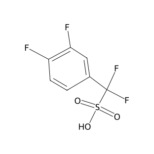 O=S(=O)(O)C(F)(F)c1ccc(F)c(F)c1